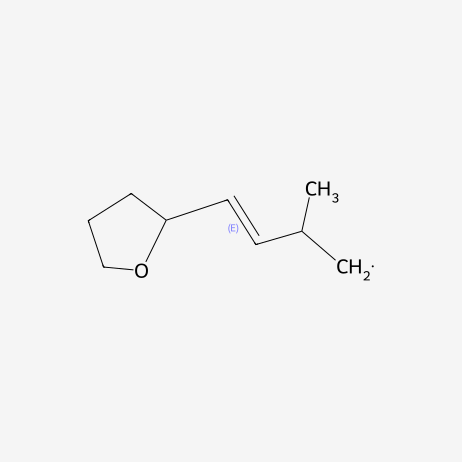 [CH2]C(C)/C=C/C1CCCO1